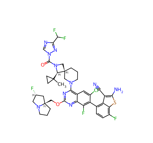 CC1([C@H]2N(C(=O)n3cnc(C(F)F)n3)C[C@]23CCCN(c2nc(OC[C@@]45CCCN4C[C@H](F)C5)nc4c(F)c(-c5ccc(F)c6sc(N)c(C#N)c56)c(Cl)cc24)C3)CC1